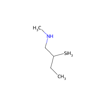 CCC([SiH3])CNC